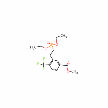 CCOP(=O)(CCc1cc(C(=O)OC)ccc1C(F)(F)F)OCC